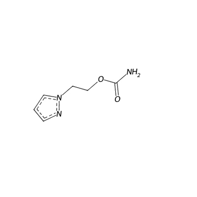 NC(=O)OCCn1cccn1